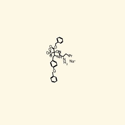 CC(C)C[C@H](N)C(=O)NC(Cc1ccc(OCc2ccccc2)cc1)C(O)(C(=O)OCc1ccccc1)S(=O)(=O)[O-].[Na+]